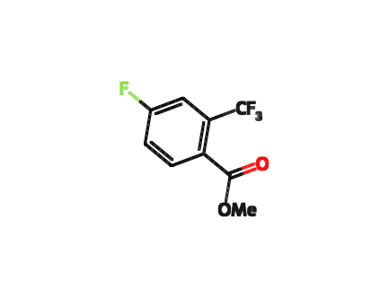 COC(=O)c1ccc(F)cc1C(F)(F)F